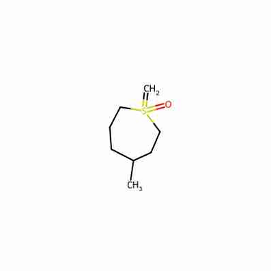 C=S1(=O)CCCC(C)CC1